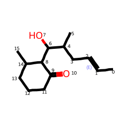 C/C=C/CC(C)C(O)C1C(=O)CCCC1C